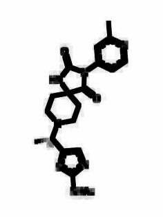 CC(=O)Nc1ncc([C@H](C)N2CCC3(CC2)NC(=O)N(c2ccnc(C)c2)C3=O)s1